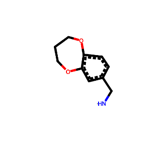 [NH]Cc1ccc2c(c1)OCCCO2